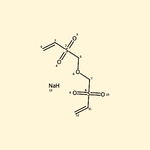 C=CS(=O)(=O)COCS(=O)(=O)C=C.[NaH]